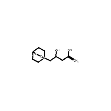 C=C(O)CC(O)C[N+]12CCC(CC1)CC2